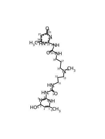 CC1=CC(O)N=C(NC(=O)NCCCN(C)CCCNC(=O)Nc2nc(=O)cc(C)[nH]2)N1